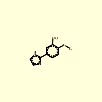 CCOc1ccc(-c2ncc[nH]2)cc1C(=O)O